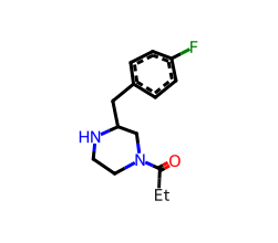 CCC(=O)N1CCNC(Cc2ccc(F)cc2)C1